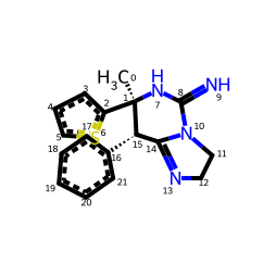 C[C@]1(c2cccs2)NC(=N)N2CCN=C2[C@@H]1c1ccccc1